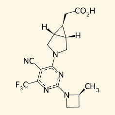 C[C@H]1CCN1c1nc(N2C[C@@H]3[C@@H](CC(=O)O)[C@@H]3C2)c(C#N)c(C(F)(F)F)n1